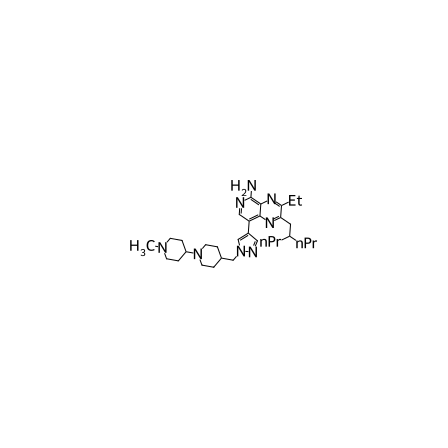 CCCC(CCC)Cc1nc2c(-c3cnn(CC4CCN(C5CCN(C)CC5)CC4)c3)cnc(N)c2nc1CC